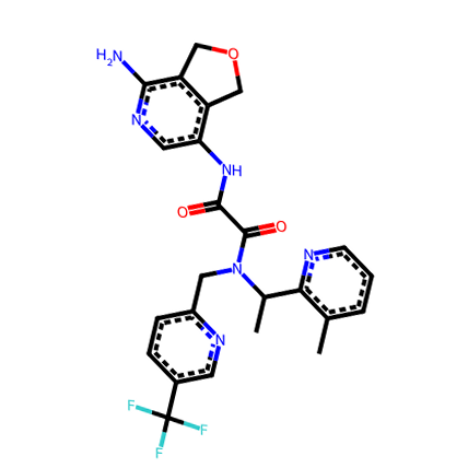 Cc1cccnc1C(C)N(Cc1ccc(C(F)(F)F)cn1)C(=O)C(=O)Nc1cnc(N)c2c1COC2